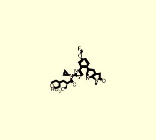 CN1C(=O)Cc2cc(-c3ccc(OCF)cc3-c3csc(N(C(=O)[C@@H](CC(=O)O)CC4CCOCC4)C4CC4)n3)cnc21